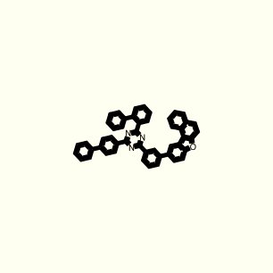 c1ccc(-c2ccc(-c3nc(-c4cccc(-c5ccc6oc7ccc8ccccc8c7c6c5)c4)nc(-c4ccccc4-c4ccccc4)n3)cc2)cc1